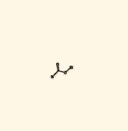 CCOC([N])=O